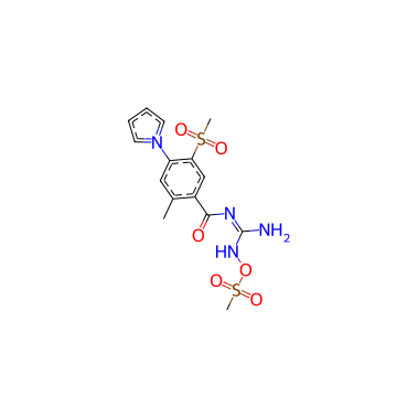 Cc1cc(-n2cccc2)c(S(C)(=O)=O)cc1C(=O)N=C(N)NOS(C)(=O)=O